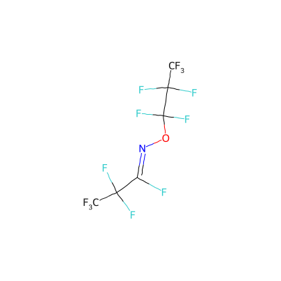 F/C(=N\OC(F)(F)C(F)(F)C(F)(F)F)C(F)(F)C(F)(F)F